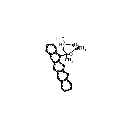 C[SiH]1CC(C)(c2c3ccccc3cc3cc4cc5ccccc5cc4cc23)O[SiH](C)[SiH2]1